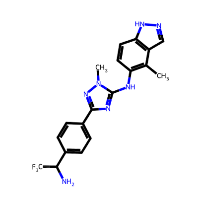 Cc1c(Nc2nc(-c3ccc(C(N)C(F)(F)F)cc3)nn2C)ccc2[nH]ncc12